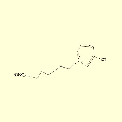 O=[C]CCCCCc1cccc(Cl)c1